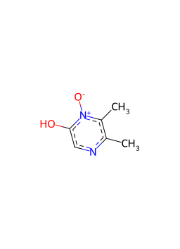 Cc1ncc(O)[n+]([O-])c1C